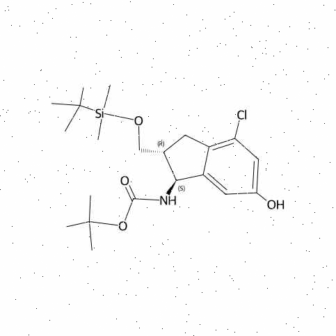 CC(C)(C)OC(=O)N[C@@H]1c2cc(O)cc(Cl)c2C[C@H]1CO[Si](C)(C)C(C)(C)C